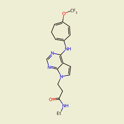 CCNC(=O)CCn1ccc2c(NC3=CCC=C(OC(F)(F)F)C=C3)ncnc21